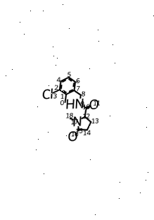 Cc1c(Cl)cccc1CNC(=O)C1CCC(=O)N1C